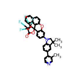 Cc1cnccc1-c1ccc2c(c1)C(C)(C)CN2c1ccc2c(c1)Oc1ccc3ccccc3c1C21OC(=O)c2c(F)c(F)c(F)c(F)c21